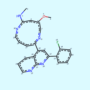 CNc1cc(OC)cnc(-c2cc(-c3ccccc3F)nc3ncccc23)cccn1